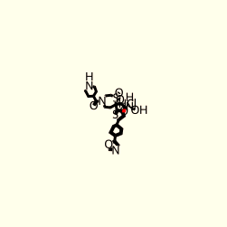 Cl.O=C(CC1(c2ccc(-c3ccc(-c4cnco4)cc3)s2)CCN(C(=O)C2CCNCC2)CCS1(=O)=O)NO